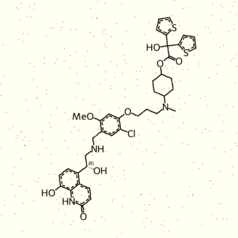 COc1cc(OCCCN(C)C2CCC(OC(=O)C(O)(c3cccs3)c3cccs3)CC2)c(Cl)cc1CNC[C@H](O)c1ccc(O)c2[nH]c(=O)ccc12